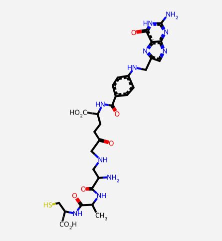 CC(NC(=O)C(N)CNCC(=O)CCC(NC(=O)c1ccc(NCc2cnc3nc(N)[nH]c(=O)c3n2)cc1)C(=O)O)C(=O)NC(CS)C(=O)O